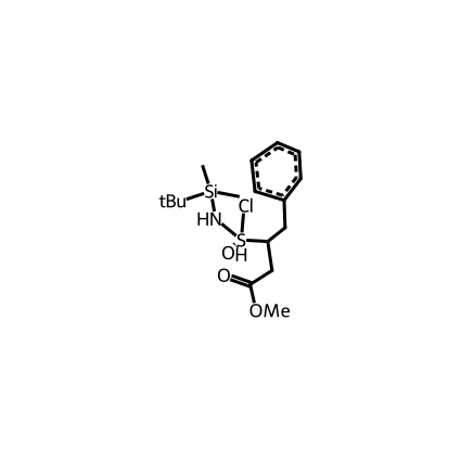 COC(=O)CC(Cc1ccccc1)[SH](=O)(Cl)N[Si](C)(C)C(C)(C)C